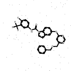 O=C(Nc1ccc(F)c(C(F)(F)F)c1)n1ccc2cc(Oc3cc(COCc4ccccc4)ncn3)ccc21